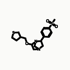 CS(=O)(=O)c1ccc(C2CN3CC(OCC4CCSC4)N2C3)cc1